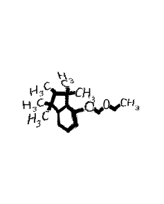 CCOCOC1CCCC2C1C(C)(C)C(C)C2(C)C